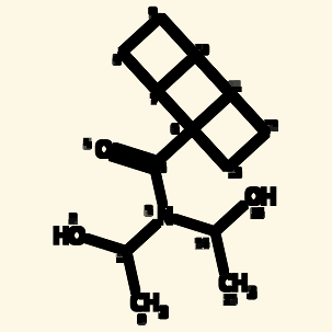 CC(O)N(C(=O)C12C3C4C5C3C1C5C42)C(C)O